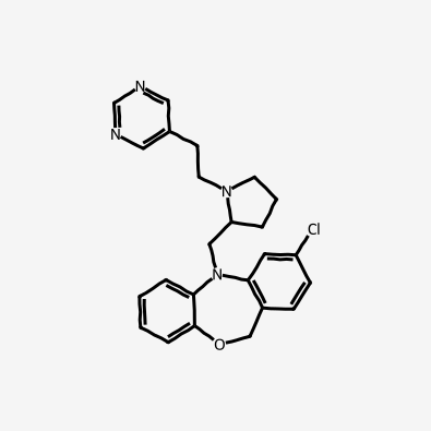 Clc1ccc2c(c1)N(CC1CCCN1CCc1cncnc1)c1ccccc1OC2